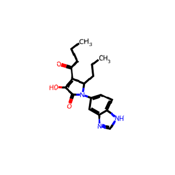 CCCC(=O)C1=C(O)C(=O)N(c2ccc3[nH]cnc3c2)C1CCC